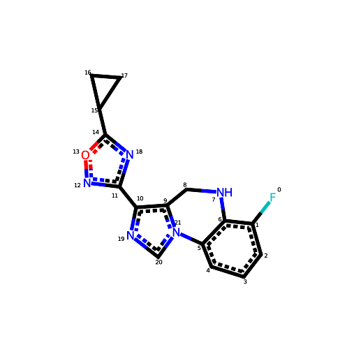 Fc1cccc2c1NCc1c(-c3noc(C4CC4)n3)ncn1-2